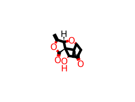 C=C1OC(=O)[C@]23[C@@H]1OC(CC(=O)[C@@H]2O)[C@H]3C